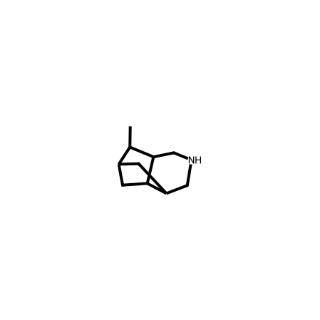 CC1C2CC3CNCC1C3C2